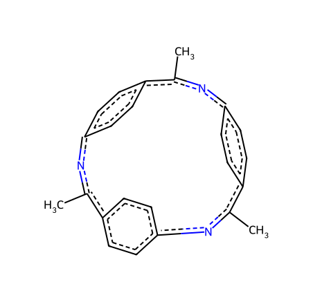 Cc1nc2ccc(cc2)c(C)nc2ccc(cc2)c(C)nc2ccc1cc2